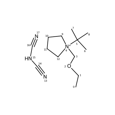 CCOC[N+]1(C(C)(C)C)CCCC1.N#CNC#N